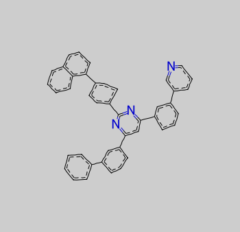 c1ccc(-c2cccc(-c3cc(-c4cccc(-c5cccnc5)c4)nc(-c4ccc(-c5cccc6ccccc56)cc4)n3)c2)cc1